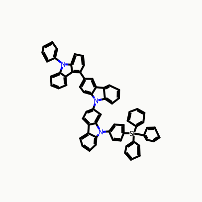 c1ccc(-n2c3ccccc3c3c(-c4ccc5c(c4)c4ccccc4n5-c4ccc5c6ccccc6n(-c6ccc([Si](c7ccccc7)(c7ccccc7)c7ccccc7)cc6)c5c4)cccc32)cc1